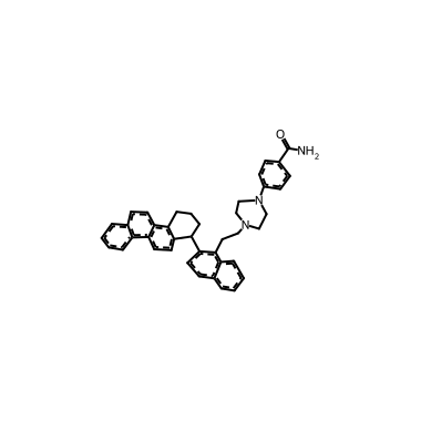 NC(=O)c1ccc(N2CCN(CCc3c(C4CCCc5c4ccc4c5ccc5ccccc54)ccc4ccccc34)CC2)cc1